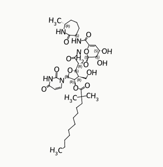 CCCCCCCCCCC(C)(C)C(=O)O[C@@H]1[C@H](CO)[C@@H]([C@@H](O[C@H]2OC(C(=O)N[C@H]3CCC[C@@H](C)NC3=O)=C[C@H](O)[C@@H]2O)C(N)=O)O[C@H]1n1ccc(=O)[nH]c1=O